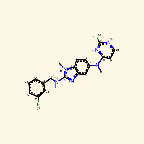 CN(c1ccc2c(c1)nc(NCc1cccc(F)c1)n2C)c1ccnc(Cl)n1